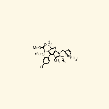 COC(=O)C(OC(C)(C)C)c1c(C)nc2c(c(C)c(C)n2Cc2ccn(C(=O)O)n2)c1-c1ccc(Cl)cc1